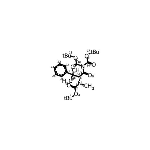 CN(C(=O)OC(C)(C)C)[C@H](C(=O)N(C(=O)OC(C)(C)C)C(=O)OC(C)(C)C)C(C)(C)c1ccccc1